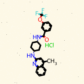 Cc1cc(N[C@H]2CC[C@@H](NC(=O)c3cccc(OC(F)(F)F)c3)CC2)nc2ccccc12.Cl